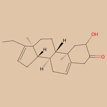 CCC1=CC[C@H]2[C@@H]3CC=C4CC(=O)C(O)C[C@]4(C)[C@H]3CC[C@]12C